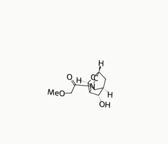 COCC(=O)N1C[C@@H]2C[C@H]3C[C@@H](C2)[C@H](O)C31